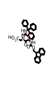 O=C(O)CNC(=O)[C@H](CC(=O)NC(c1ccccc1)(c1ccccc1)c1ccccc1)NC(=O)OCC1c2ccccc2-c2ccccc21